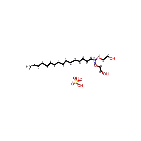 CCCCCCCCCCCCCCCCN(OCCO)OCCO.O=S(=O)(O)O